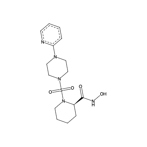 O=C(NO)[C@H]1CCCCN1S(=O)(=O)N1CCN(c2ccccn2)CC1